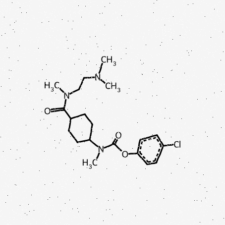 CN(C)CCN(C)C(=O)C1CCC(N(C)C(=O)Oc2ccc(Cl)cc2)CC1